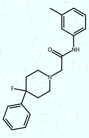 Cc1cccc(NC(=O)CN2CCC(F)(c3ccccc3)CC2)c1